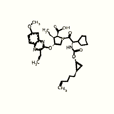 C=CCCC[C@@H]1C[C@H]1OC(=O)N[C@H](C(=O)N1C[C@H](Oc2nc3cc(OC)ccc3nc2C=C)[C@@H](CC)[C@H]1C(=O)O)C1CCCC1